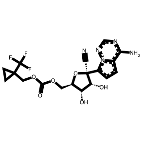 N#C[C@@]1(c2ccc3c(N)ncnn23)O[C@H](COC(=O)OCC2(C(F)(F)F)CC2)[C@@H](O)[C@H]1O